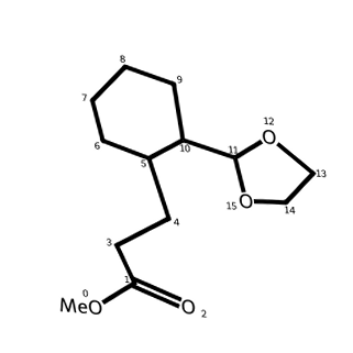 COC(=O)CCC1CCCCC1C1OCCO1